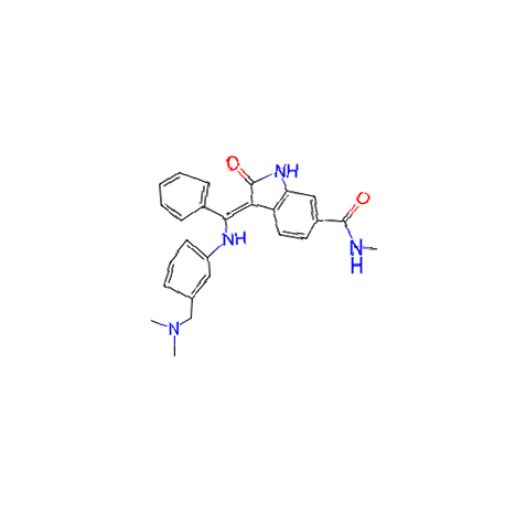 CNC(=O)c1ccc2c(c1)NC(=O)C2=C(Nc1cccc(CN(C)C)c1)c1ccccc1